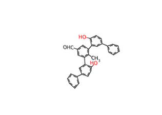 Cc1c(-c2cc(-c3ccccc3)ccc2O)cc(C=O)cc1-c1cc(-c2ccccc2)ccc1O